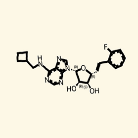 O[C@@H]1[C@H](O)[C@@H](C=Cc2ccccc2F)O[C@H]1n1cnc2c(NCC3CCC3)ncnc21